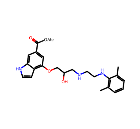 COC(=O)c1cc(OCC(O)CNCCNc2c(C)cccc2C)c2cc[nH]c2c1